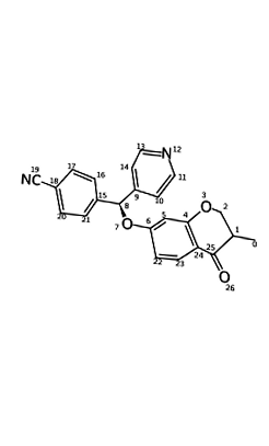 CC1COc2cc(O[C@H](c3ccncc3)c3ccc(C#N)cc3)ccc2C1=O